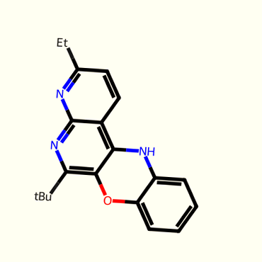 CCc1ccc2c3c(c(C(C)(C)C)nc2n1)Oc1ccccc1N3